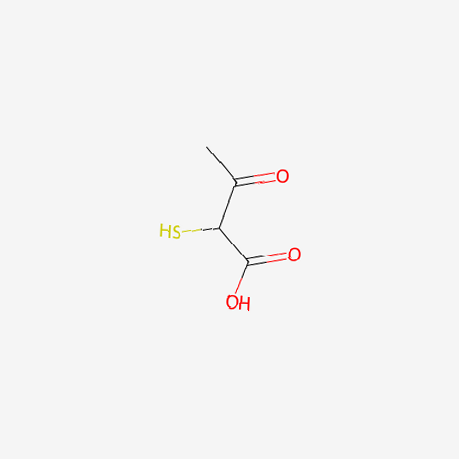 CC(=O)C(S)C(=O)O